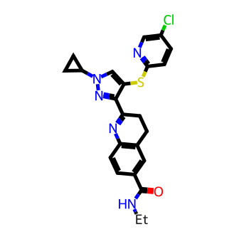 CCNC(=O)c1ccc2c(c1)CCC(c1nn(C3CC3)cc1Sc1ccc(Cl)cn1)=N2